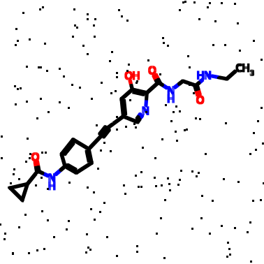 CCNC(=O)CNC(=O)c1ncc(C#Cc2ccc(NC(=O)C3CC3)cc2)cc1O